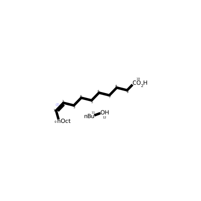 CCCCCCCC/C=C\CCCCCCCC(=O)O.CCCCO